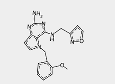 COc1ccccc1Cn1ccc2nc(N)nc(NCc3ccon3)c21